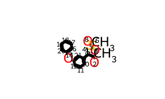 CC(=O)[C@H](CS(C)(=O)=O)c1cccc(Oc2ccccc2)c1